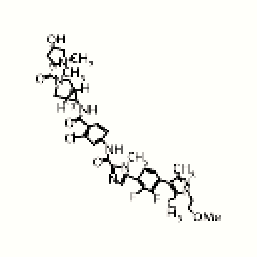 COCCn1nc(C)c(-c2ccc(-c3cnc(C(=O)Nc4ccc(C(=O)N[C@H]5[C@@H]6CN(C(=O)[C@@H]7C[C@@H](O)C[N+]7(C)C)C[C@@H]65)c(Cl)c4)n3C)c(F)c2F)c1C